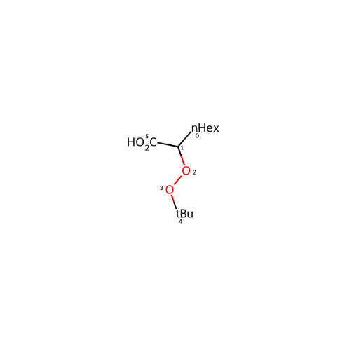 CCCCCCC(OOC(C)(C)C)C(=O)O